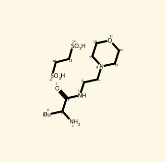 CCC(C)C(N)C(=O)NCCN1CCOCC1.O=S(=O)(O)CCS(=O)(=O)O